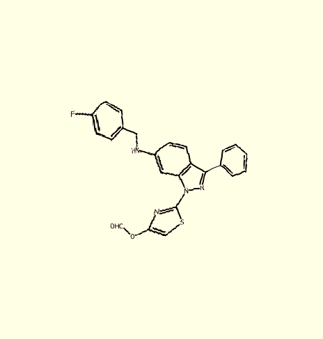 O=COc1csc(-n2nc(-c3ccccc3)c3ccc(NCc4ccc(F)cc4)cc32)n1